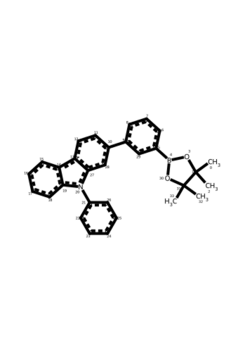 CC1(C)OB(c2cccc(-c3ccc4c5ccccc5n(-c5ccccc5)c4c3)c2)OC1(C)C